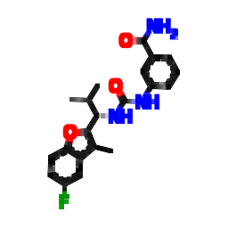 Cc1c([C@@H](NC(=O)Nc2cccc(C(N)=O)c2)C(C)C)oc2ccc(F)cc12